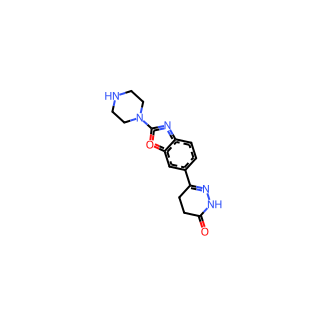 O=C1CCC(c2ccc3nc(N4CCNCC4)oc3c2)=NN1